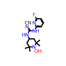 CC1(C)CC(N/C(=N/C#N)Nc2cccc(F)n2)CC(C)(C)N1O